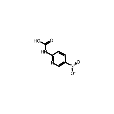 O=C(O)Nc1ccc([N+](=O)[O-])cn1